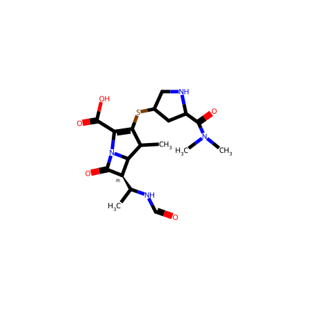 CC1C(SC2CNC(C(=O)N(C)C)C2)=C(C(=O)O)N2C(=O)[C@H](C(C)NC=O)C12